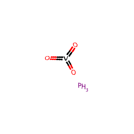 P.[O]=[V](=[O])=[O]